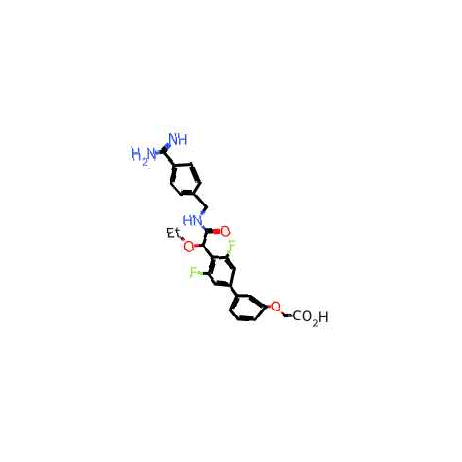 CCOC(C(=O)NCc1ccc(C(=N)N)cc1)c1c(F)cc(-c2cccc(OCC(=O)O)c2)cc1F